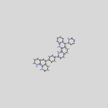 c1ccc(-c2c3ccccc3nc3c2ccc2ccc(-c4ccc(-c5cc6cccnc6c6ncccc56)cc4)nc23)nc1